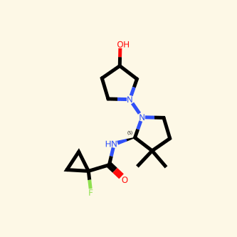 CC1(C)CCN(N2CCC(O)C2)[C@@H]1NC(=O)C1(F)CC1